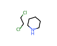 C1CCNCC1.ClCCCl